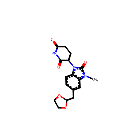 Cn1c(=O)n(C2CCC(=O)NC2=O)c2ccc(CC3OCCO3)cc21